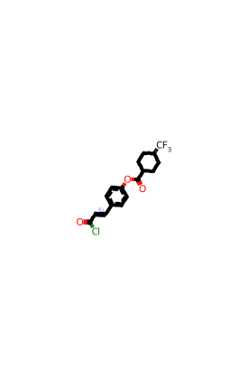 O=C(Cl)/C=C/c1ccc(OC(=O)C2CCC(C(F)(F)F)CC2)cc1